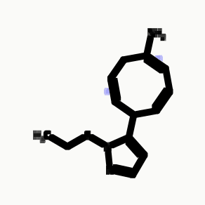 CCSn1nccc1C1C=C/C=C(/N)C/C=C\1